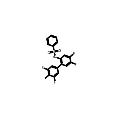 Cc1c(F)cc(-c2cc(F)c(F)cc2NS(=O)(=O)c2ccccc2)cc1F